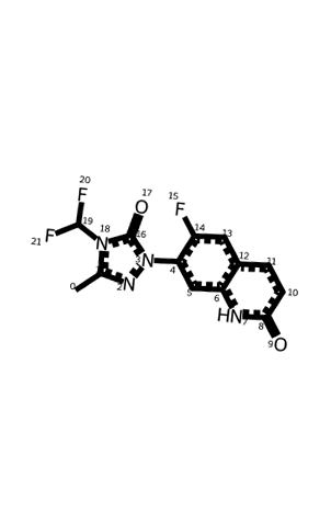 Cc1nn(-c2cc3[nH]c(=O)ccc3cc2F)c(=O)n1C(F)F